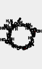 C#CCNC(=O)[C@@H]1CSSC[C@H](N)C(=O)N[C@@H](Cc2ccc(O)cc2)C(=O)N[C@@H](C(C)C)C(=O)N[C@@H](C)C(=O)N[C@@H](CC(C)C)C(=O)N2CCC[C@H]2C(=O)NCC(=O)NCC(=O)N[C@@H](Cc2ccc(O)cc2)C(=O)N[C@@H](C(C)C)C(=O)N[C@@H](CCCNC(=N)N)C(=O)N[C@@H](CCCCN)C(=O)N1